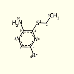 CCSc1nc(Br)cnc1N